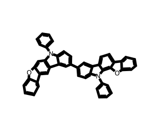 c1ccc(-n2c3ccc(-c4ccc5c(c4)c4ccc6c7ccccc7oc6c4n5-c4ccccc4)cc3c3cc4c(cc32)oc2ccccc24)cc1